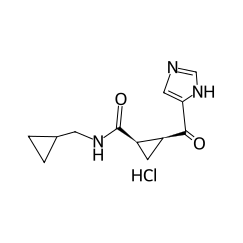 Cl.O=C(c1cnc[nH]1)[C@H]1C[C@H]1C(=O)NCC1CC1